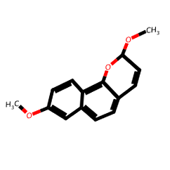 COc1ccc2c3c(ccc2c1)C=CC(OC)O3